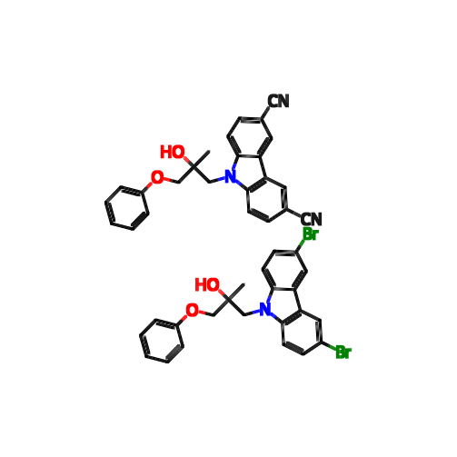 CC(O)(COc1ccccc1)Cn1c2ccc(Br)cc2c2cc(Br)ccc21.CC(O)(COc1ccccc1)Cn1c2ccc(C#N)cc2c2cc(C#N)ccc21